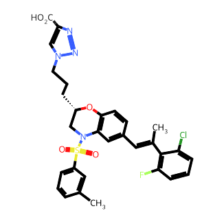 C/C(=C\c1ccc2c(c1)N(S(=O)(=O)c1cccc(C)c1)C[C@H](CCCn1cc(C(=O)O)nn1)O2)c1c(F)cccc1Cl